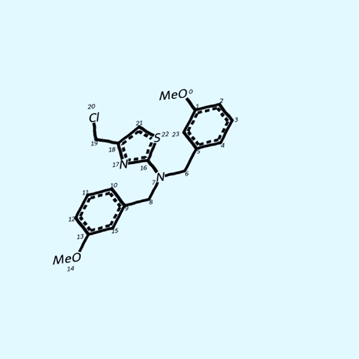 COc1cccc(CN(Cc2cccc(OC)c2)c2nc(CCl)cs2)c1